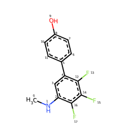 CNc1cc(-c2ccc(O)cc2)c(F)c(F)c1F